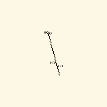 CCCCCCC(O)CCC(O)CCCCCCCCCCCCCCCCCCC(=O)O